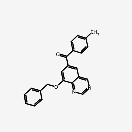 Cc1ccc(C(=O)c2cc(OCc3ccccc3)c3ncncc3c2)cc1